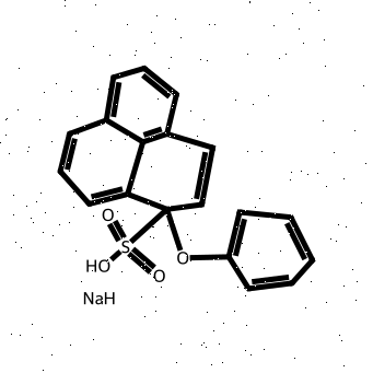 O=S(=O)(O)C1(Oc2ccccc2)C=Cc2cccc3cccc1c23.[NaH]